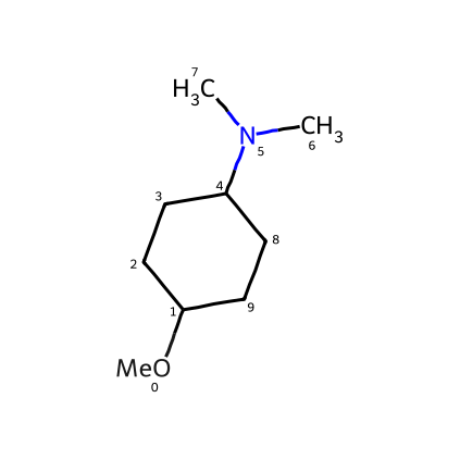 COC1CCC(N(C)C)CC1